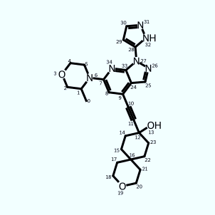 CC1COCCN1c1cc(C#CC2(O)CCC3(CCOCC3)CC2)c2cnn(-c3ccn[nH]3)c2n1